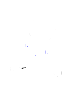 O=C=NN(N=C=O)[C@@H](CC(=O)O)C(=O)O